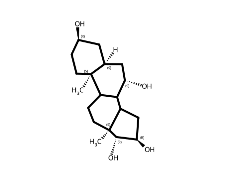 C[C@]12CCC3C(C1C[C@@H](O)[C@@H]2O)[C@@H](O)C[C@@H]1C[C@H](O)CC[C@]31C